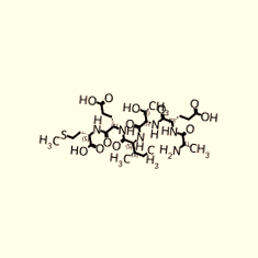 CC[C@H](C)[C@H](NC(=O)[C@@H](NC(=O)[C@H](CCC(=O)O)NC(=O)[C@H](C)N)[C@@H](C)O)C(=O)N[C@@H](CCC(=O)O)C(=O)N[C@@H](CCSC)C(=O)O